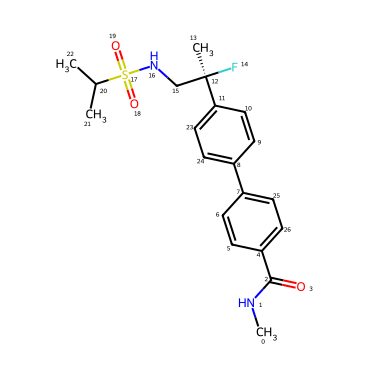 CNC(=O)c1ccc(-c2ccc([C@](C)(F)CNS(=O)(=O)C(C)C)cc2)cc1